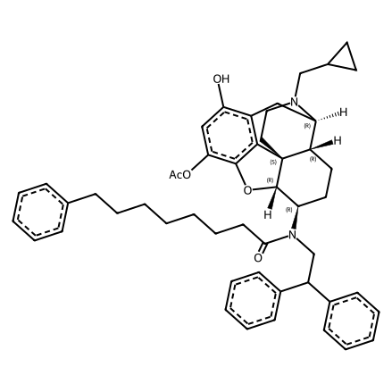 CC(=O)Oc1cc(O)c2c3c1O[C@H]1[C@H](N(CC(c4ccccc4)c4ccccc4)C(=O)CCCCCCCc4ccccc4)CC[C@H]4[C@@H](C2)N(CC2CC2)CC[C@@]341